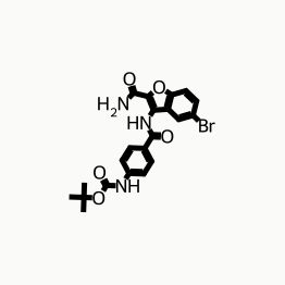 CC(C)(C)OC(=O)Nc1ccc(C(=O)Nc2c(C(N)=O)oc3ccc(Br)cc23)cc1